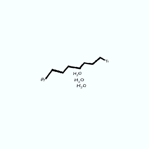 CC(C)CCCCCC[CH2][Ti].O.O.O